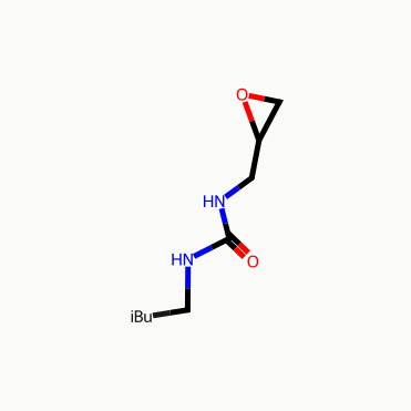 CCC(C)CNC(=O)NCC1CO1